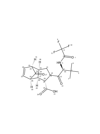 CC(C)(C)[C@H](NC(=O)C(F)(F)F)C(=O)N1C[C@H]2[C@@H]([C@H]1C(=O)O)[C@H]1C=C[C@@H]2C1=O